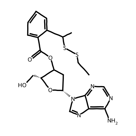 CCSSC(C)c1ccccc1C(=O)OC1C[C@H](n2cnc3c(N)ncnc32)O[C@@H]1CO